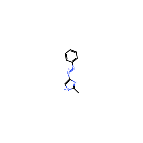 Cc1nc(/N=N/c2ccccc2)c[nH]1